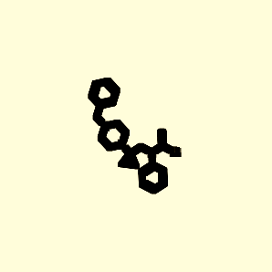 CCC(=O)N(CC1(N2CCN(Cc3ccccc3)CC2)CC1)c1ccccc1